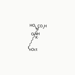 CCCCCCCC/C=C\CCCCCCCC(=O)NCCN(CCO)CC(=O)O.[K]